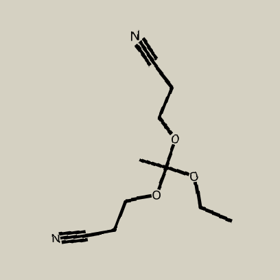 CCOC(C)(OCCC#N)OCCC#N